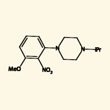 COc1cccc(N2CCN(C(C)C)CC2)c1[N+](=O)[O-]